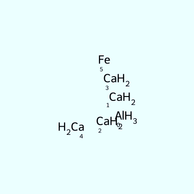 [AlH3].[CaH2].[CaH2].[CaH2].[CaH2].[Fe]